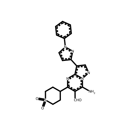 Nc1c(C=O)c(C2CCS(=O)(=O)CC2)nc2c(-c3ccn(-c4ccccc4)n3)cnn12